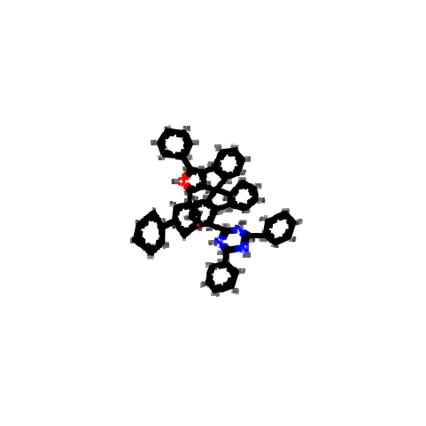 c1ccc(-c2cccc(-c3oc(-c4ccccc4)c4c3C3(c5ccccc5-c5c(-c6nc(-c7ccccc7)nc(-c7ccccc7)n6)cccc53)c3ccccc3-4)c2)cc1